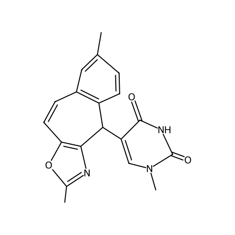 Cc1ccc2c(c1)C=Cc1oc(C)nc1C2c1cn(C)c(=O)[nH]c1=O